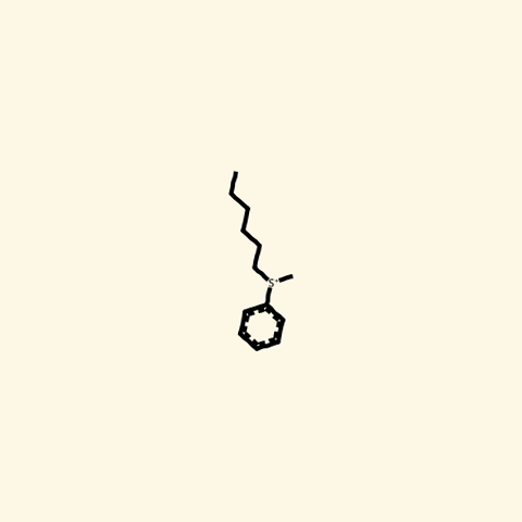 CCCCCC[S+](C)c1ccccc1